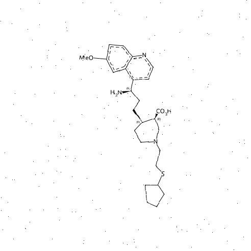 COc1ccc2nccc([C@H](N)CC[C@@H]3CCN(CCSC4CCCC4)C[C@@H]3C(=O)O)c2c1